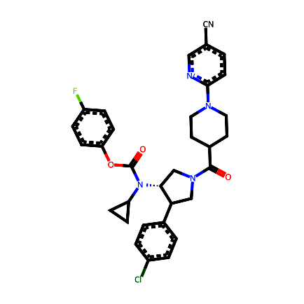 N#Cc1ccc(N2CCC(C(=O)N3CC(c4ccc(Cl)cc4)[C@H](N(C(=O)Oc4ccc(F)cc4)C4CC4)C3)CC2)nc1